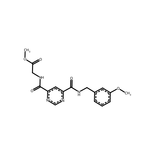 COC(=O)CNC(=O)c1cc(C(=O)NCc2cccc(OC)c2)ncn1